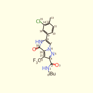 CCC(C)NC(=O)c1nn2cc(-c3ccc(C)c(Cl)c3)[nH]c(=O)c2c1C(F)(F)F